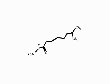 CNC(=O)CCCCCC(C)C